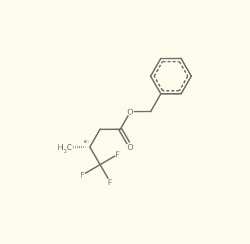 C[C@H](CC(=O)OCc1ccccc1)C(F)(F)F